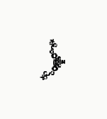 CC(C)(C)OC(=O)CCOc1ccc(S(=O)(=O)C(=[N+]=[N-])S(=O)(=O)c2ccc(OCCC(=O)OC(C)(C)C)cc2)cc1